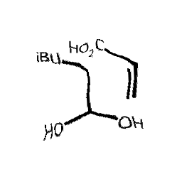 C=CC(=O)O.CCC(C)CC(O)O